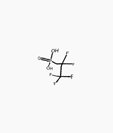 O=P(O)(O)C(F)(F)C(F)(F)F